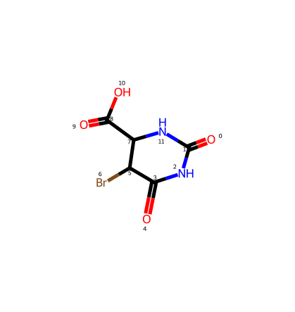 O=C1NC(=O)C(Br)C(C(=O)O)N1